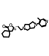 Cc1cnccc1N1CC2CN(CC[C@@H]3CC4(CCCCC4)C(=O)O3)CC2C1